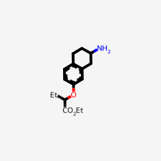 CCOC(=O)C(CC)Oc1ccc2c(c1)CC(N)CC2